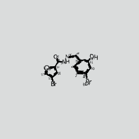 O=C(N/N=C\c1ccc(Br)cc1O)c1cc(Br)co1